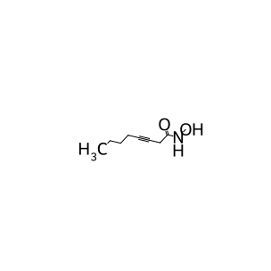 CCCCC#CCC(=O)NO